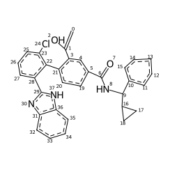 C=C(O)c1cc(C(=O)NC(c2ccccc2)C2CC2)ccc1-c1c(Cl)cccc1-c1nc2ccccc2[nH]1